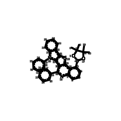 CC1(C)OB(c2cccc3nc(-c4ccccc4)c4c(sc5c6ccccc6n(-c6ccccc6)c54)c23)OC1(C)C